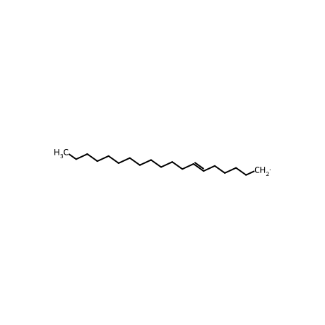 [CH2]CCCCC=CCCCCCCCCCCCC